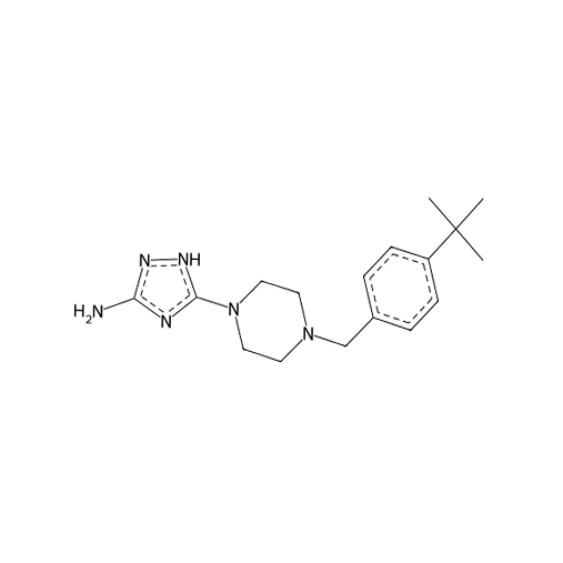 CC(C)(C)c1ccc(CN2CCN(c3nc(N)n[nH]3)CC2)cc1